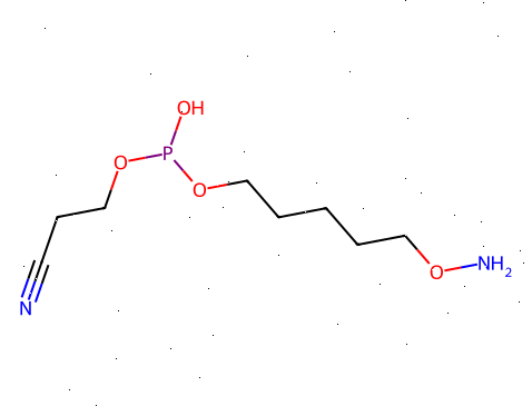 N#CCCOP(O)OCCCCCON